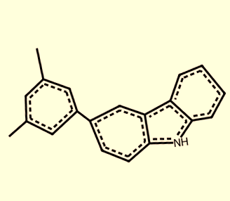 Cc1cc(C)cc(-c2ccc3[nH]c4ccccc4c3c2)c1